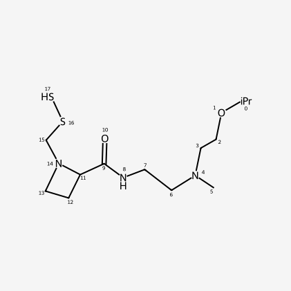 CC(C)OCCN(C)CCNC(=O)C1CCN1CSS